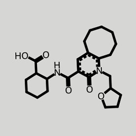 O=C(NC1CCCCC1C(=O)O)c1cc2c(n(CC3CCCO3)c1=O)CCCCCC2